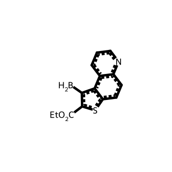 Bc1c(C(=O)OCC)sc2ccc3ncccc3c12